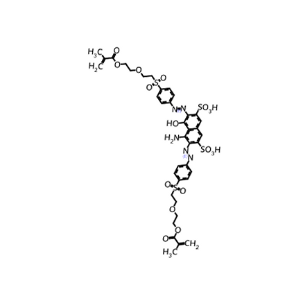 C=C(C)C(=O)OCCOCCS(=O)(=O)c1ccc(/N=N/c2c(S(=O)(=O)O)cc3cc(S(=O)(=O)O)c(/N=N/c4ccc(S(=O)(=O)CCOCCOC(=O)C(=C)C)cc4)c(O)c3c2N)cc1